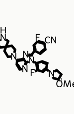 CO[C@H]1CCN(c2ccc(-n3c(-c4ccc(C#N)c(F)c4)nc4c(N5CCC6(CCNC6)CC5)ccnc43)c(F)c2)C1